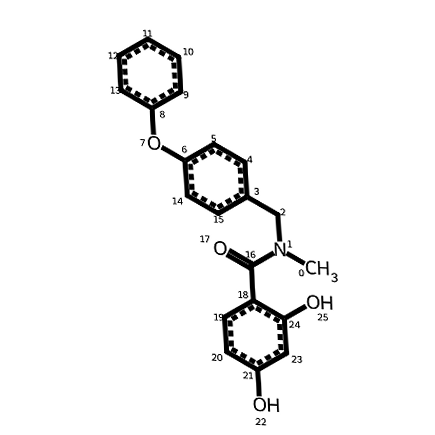 CN(Cc1ccc(Oc2ccccc2)cc1)C(=O)c1ccc(O)cc1O